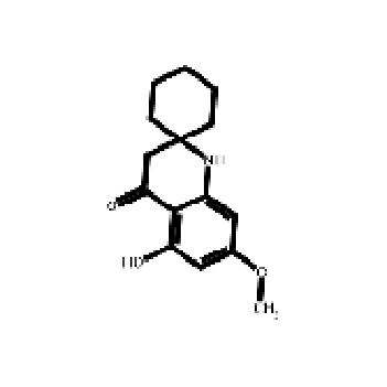 COc1cc(O)c2c(c1)NC1(CCCCC1)CC2=O